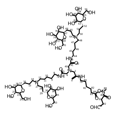 C=C(CN(CC(=O)NCCCCCN(CCC[C@@H]1CC(O)[C@H](O)C(CO)O1)CCC[C@H]1OC(CO)CC(O)C1O)CC(=O)NCCCCCN(CCC[C@H]1OC(CO)[C@@H](O)C(O)C1O)CCC[C@H]1OC(CO)[C@@H](O)C(O)C1O)NCCCCCC(=O)ON(C)C(=O)CCC=O